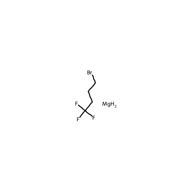 FC(F)(F)CCCBr.[MgH2]